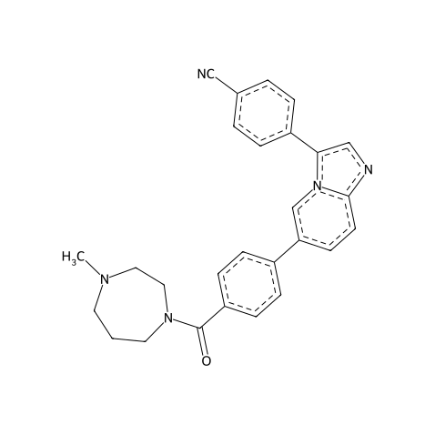 CN1CCCN(C(=O)c2ccc(-c3ccc4ncc(-c5ccc(C#N)cc5)n4c3)cc2)CC1